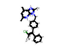 CCc1nc2c(C)cc(C)nc2n1Cc1ccc(C(=C(Cl)C#N)c2ccccc2)cc1